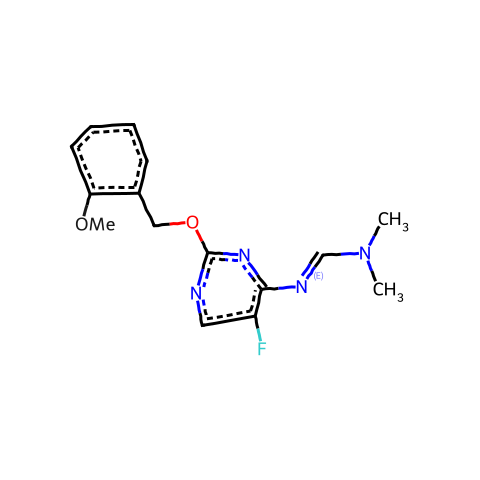 COc1ccccc1COc1ncc(F)c(/N=C/N(C)C)n1